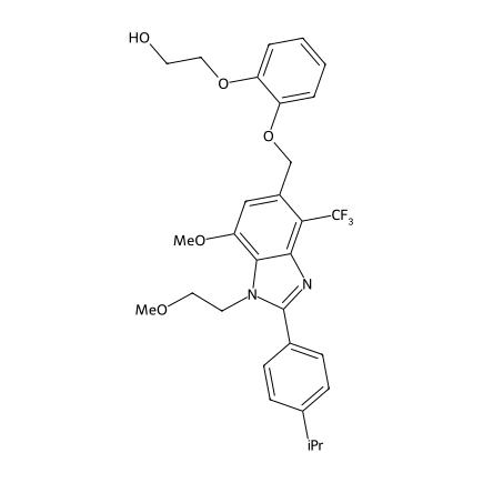 COCCn1c(-c2ccc(C(C)C)cc2)nc2c(C(F)(F)F)c(COc3ccccc3OCCO)cc(OC)c21